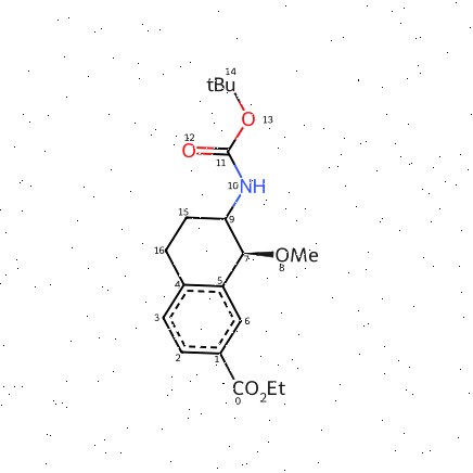 CCOC(=O)c1ccc2c(c1)[C@H](OC)C(NC(=O)OC(C)(C)C)CC2